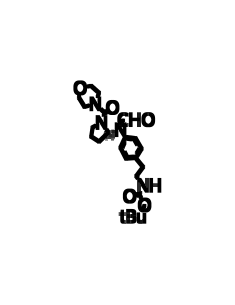 CC(C)(C)OC(=O)NCCc1ccc(N(C=O)[C@@H]2CCCN2C(=O)N2CCOCC2)cc1